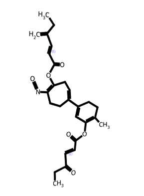 C=C(/C=C/C(=O)OC1=C(N=O)CCC(C2=CC(OC(=O)/C=C/C(=O)CC)=C(C)CC2)=CC1)CC